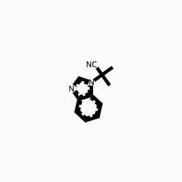 CC(C)(C#N)n1cnc2ccccc21